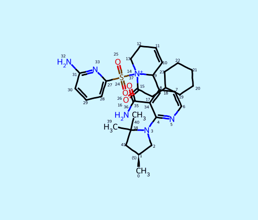 C[C@@H]1CN(c2nccc(C3C=CCC[N+]3(C(=O)CC3CCCCC3)S(=O)(=O)c3cccc(N)n3)c2C(N)=O)C(C)(C)C1